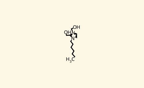 CCCCCCC[n+]1ccn(CO)c1CO